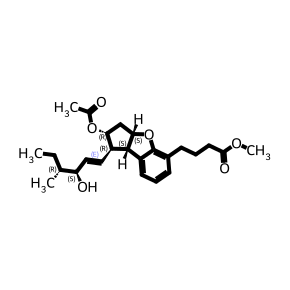 CC[C@@H](C)[C@H](O)/C=C/[C@@H]1[C@H]2c3cccc(CCCC(=O)OC)c3O[C@H]2C[C@H]1OC(C)=O